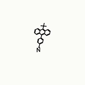 CC(C)(C)c1c2ccccc2c(-c2ccc(C#N)cc2)c2ccccc12